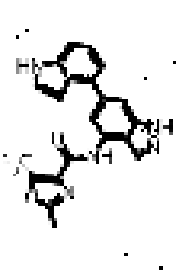 Cc1nc(C(=O)Nc2cc(-c3cccc4[nH]ccc34)cc3[nH]ncc23)c(C(F)(F)F)o1